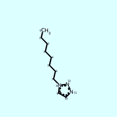 CCCCCCCCn1ccnn1